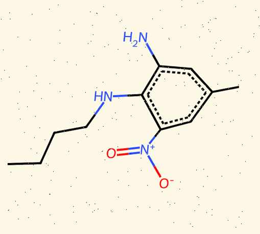 CCCCNc1c(N)cc(C)cc1[N+](=O)[O-]